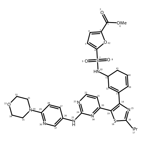 COC(=O)c1ccc(S(=O)(=O)NC2C=C(c3nc(C(C)C)sc3-c3ccnc(Nc4ccc(N5CCOCC5)nc4)n3)C=CC2)o1